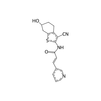 N#Cc1c(NC(=O)/C=C/c2cccnc2)sc2c1CCC(O)C2